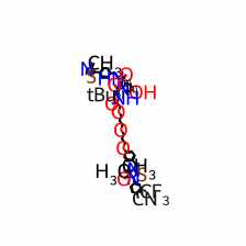 Cc1ncsc1-c1ccc(CNC(=O)[C@@H]2C[C@@H](O)CN2C(=O)[C@@H](NC(=O)COCCCOCCCOc2ccc(CN3C(=S)N(c4ccc(C#N)c(C(F)(F)F)c4)C(=O)C3(C)C)cc2)C(C)(C)C)cc1